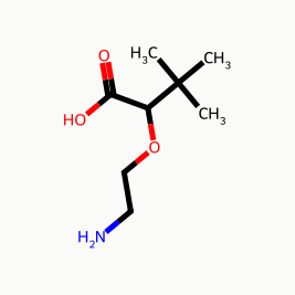 CC(C)(C)C(OCCN)C(=O)O